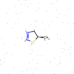 C[C@@H]1CN=NS1